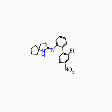 CCc1cc([N+](=O)[O-])ccc1-c1ccccc1N=C1NC2(CCCC2)CS1